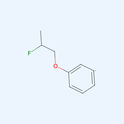 CC(F)COc1c[c]ccc1